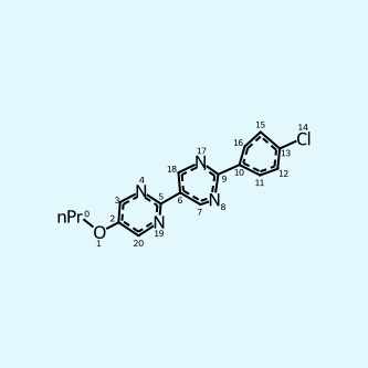 CCCOc1cnc(-c2cnc(-c3ccc(Cl)cc3)nc2)nc1